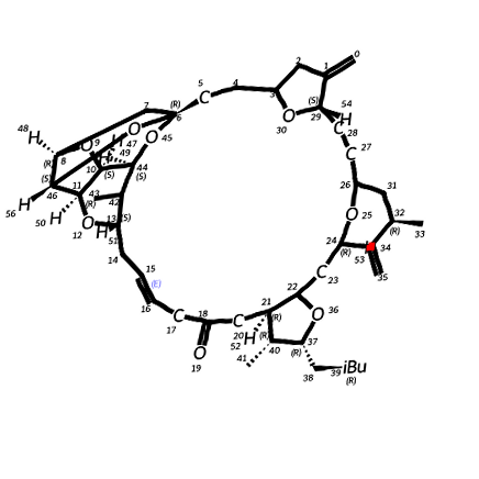 C=C1CC2CC[C@@]34C[C@H]5O[C@@H]6[C@@H](O[C@@H](C/C=C/CC(=O)C[C@H]7C(C[C@H]8OC(CC[C@@H]1O2)C[C@@H](C)C8=C)O[C@H](C[C@H](C)CC)[C@@H]7C)C(C)[C@@H]6O3)[C@H]5O4